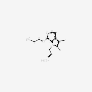 C=CCn1c(C)c(C)c2ccnc(OCCC(C)C)c21.Cl